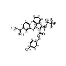 N=C(N)c1cccc(Cn2c(C(=O)OCc3ccc(Cl)cc3)c(NC(=O)C(F)(F)F)c3ccccc32)c1